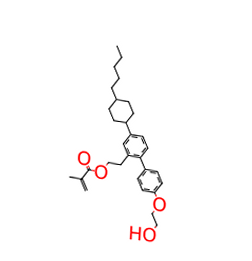 C=C(C)C(=O)OCCc1cc(C2CCC(CCCCC)CC2)ccc1-c1ccc(OCCO)cc1